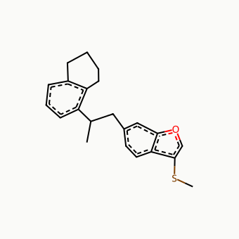 CSc1coc2cc(CC(C)c3cccc4c3CCCC4)ccc12